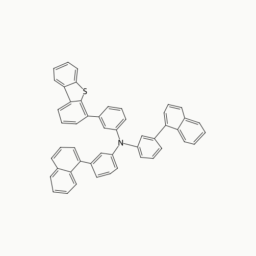 c1cc(-c2cccc3ccccc23)cc(N(c2cccc(-c3cccc4ccccc34)c2)c2cccc(-c3cccc4c3sc3ccccc34)c2)c1